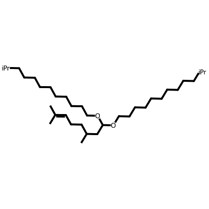 CC(C)=CCCC(C)CC(OCCCCCCCCCCC(C)C)OCCCCCCCCCCC(C)C